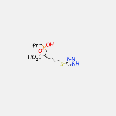 CC(C)CP(=O)(O)C/C(=C\CCCSc1c[nH]nn1)C(=O)O